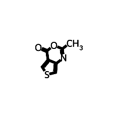 Cc1nc2cscc2c(=O)o1